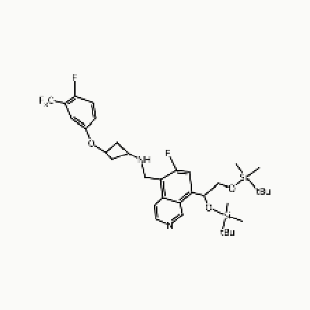 CC(C)(C)[Si](C)(C)OCC(O[Si](C)(C)C(C)(C)C)c1cc(F)c(CNC2CC(Oc3ccc(F)c(C(F)(F)F)c3)C2)c2ccncc12